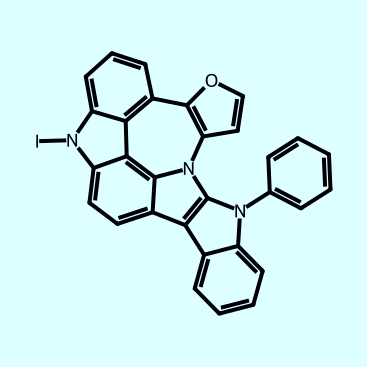 In1c2cccc3c4occc4n4c5c(ccc1c5c32)c1c2ccccc2n(-c2ccccc2)c14